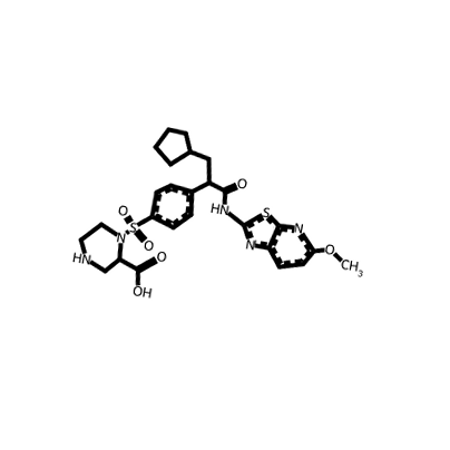 COc1ccc2nc(NC(=O)C(CC3CCCC3)c3ccc(S(=O)(=O)N4CCNCC4C(=O)O)cc3)sc2n1